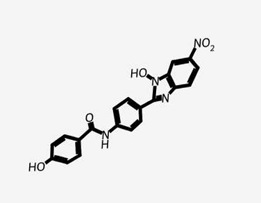 O=C(Nc1ccc(-c2nc3ccc([N+](=O)[O-])cc3n2O)cc1)c1ccc(O)cc1